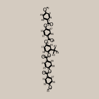 COc1ccc(C(=O)Oc2ccc(C(=O)Oc3ccc(OC(=O)c4ccc(OC(=O)c5ccc(OC)cc5)cc4)c(C(C)(C)C)c3)cc2)cc1